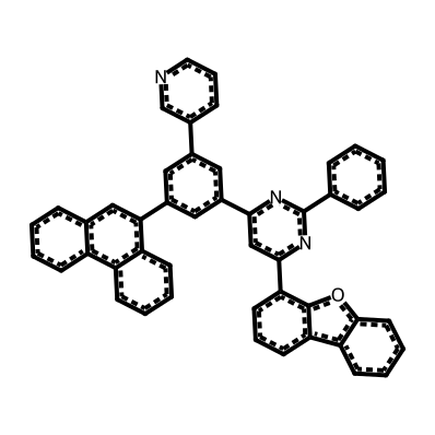 c1ccc(-c2nc(-c3cc(-c4cccnc4)cc(-c4cc5ccccc5c5ccccc45)c3)cc(-c3cccc4c3oc3ccccc34)n2)cc1